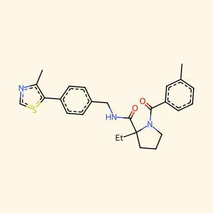 CCC1(C(=O)NCc2ccc(-c3scnc3C)cc2)CCCN1C(=O)c1cccc(C)c1